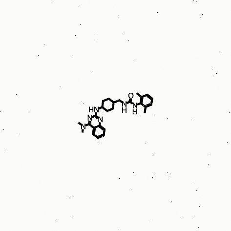 Cc1cccc(C)c1NC(=O)NCC1CCC(Nc2nc(N(C)C)c3ccccc3n2)CC1